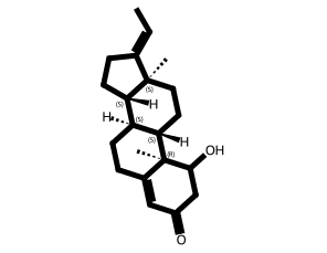 CC=C1CC[C@H]2[C@@H]3CCC4=CC(=O)CC(O)[C@]4(C)[C@H]3CC[C@]12C